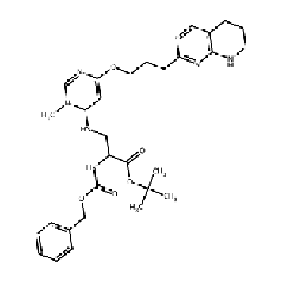 CN1C=NC(OCCCc2ccc3c(n2)NCCC3)=CC1NCC(NC(=O)OCc1ccccc1)C(=O)OC(C)(C)C